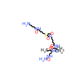 CCC(=O)[C@H](CCCNC(N)=O)NC(=O)C(NC(=O)CCCCCN1C(=O)CC(SCCCCCC(=O)NCCCCCN)C1=O)C(C)C